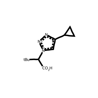 CC(C)(C)C(C(=O)O)n1cc(C2CC2)nn1